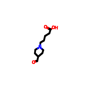 O=CC1CCN(CCCCC(=O)O)CC1